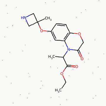 CCOC(=O)C(C)N1C(=O)COc2ccc(OC3(C)CNC3)cc21